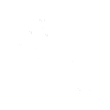 CN1C(=O)CC(C)(c2ccc(Cl)c(-c3ccc4cc[nH]c4c3)c2)N=C1N